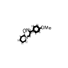 COc1ccc(C(CN2CCCCC2)N=O)cc1